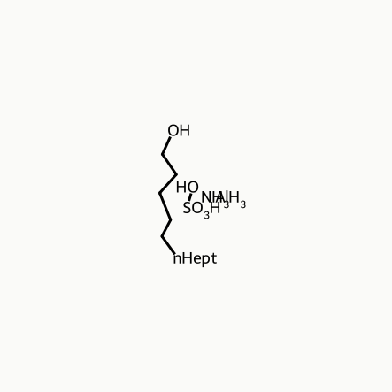 CCCCCCCCCCCCO.N.O=S(=O)(O)O.[AlH3]